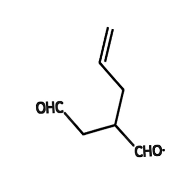 C=CCC([C]=O)CC=O